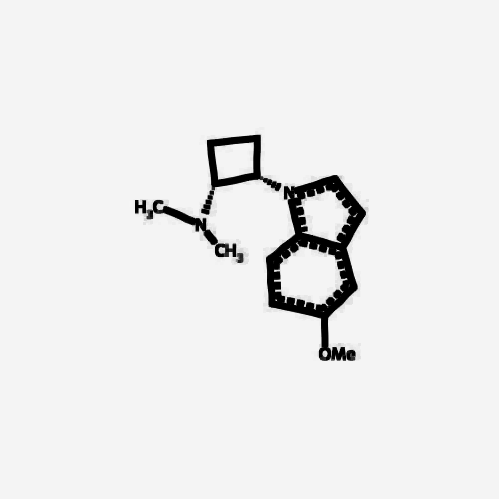 COc1ccc2c(ccn2[C@H]2CC[C@H]2N(C)C)c1